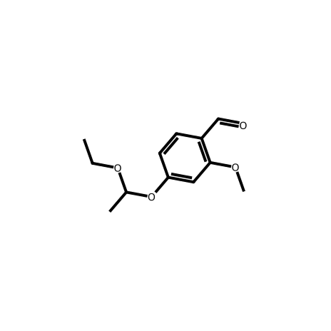 CCOC(C)Oc1ccc(C=O)c(OC)c1